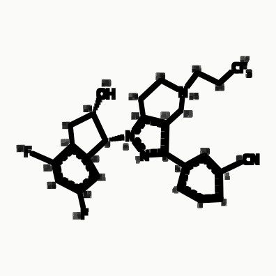 N#Cc1cccc(-c2nn([C@@H]3c4cc(F)cc(F)c4C[C@@H]3O)c3c2CN(CCC(F)(F)F)CC3)c1